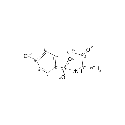 CC(NS(=O)(=O)c1ccc(Cl)cc1)C(=O)Cl